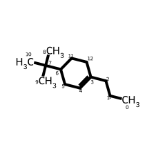 C[CH]CC1=CCC(C(C)(C)C)CC1